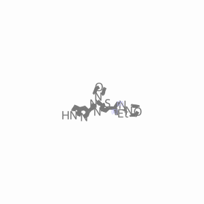 CC/C=C(\C=N/CN1CCOCC1)c1cc2nc(-c3cnc4[nH]ccc4c3)nc(N3CCOCC3)c2s1